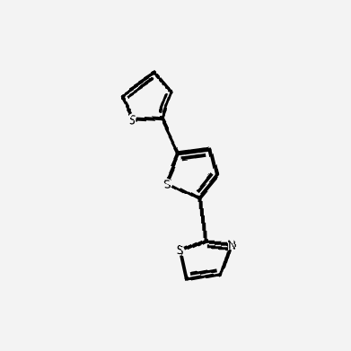 c1csc(-c2ccc(-c3nccs3)s2)c1